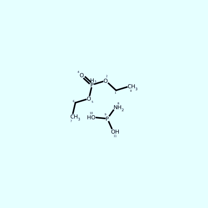 CCO[PH](=O)OCC.NP(O)O